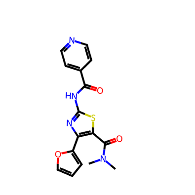 CN(C)C(=O)c1sc(NC(=O)c2ccncc2)nc1-c1ccco1